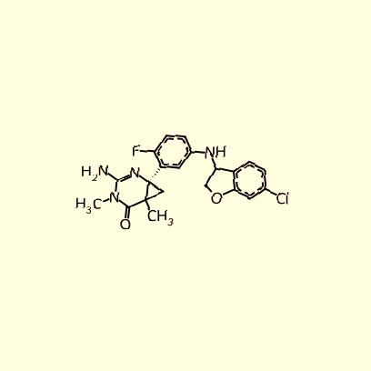 CN1C(=O)C2(C)C[C@]2(c2cc(NC3COc4cc(Cl)ccc43)ccc2F)N=C1N